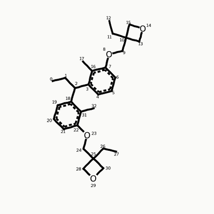 CCC(c1cccc(OCC2(CC)COC2)c1C)c1cccc(OCC2(CC)COC2)c1C